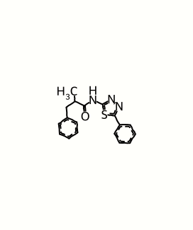 CC(Cc1ccccc1)C(=O)Nc1nnc(-c2ccccc2)s1